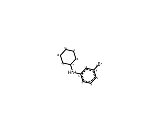 Brc1cccc(NC2C[CH]CCC2)c1